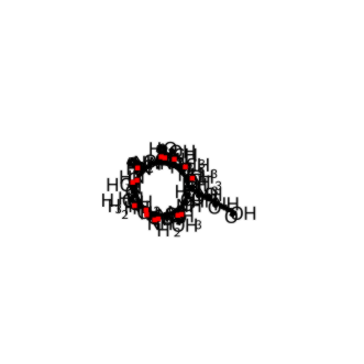 CCCC[C@H]1C(=O)N(C)[C@@H](CCCC)C(=O)N[C@@H](CC(C)C)C(=O)N[C@H](C(=O)NCC(=O)NCC(=O)NCC(=O)NCCCCC(=O)O)CSCC(=O)N[C@@H](Cc2ccc(O)cc2)C(=O)N(C)CC(=O)N[C@H]2CC(N)=C3CC[C@@H](C(=O)N[C@@H](CN)C(=O)N[C@@H](CC(C)C)C(=O)N4C[C@H](O)C[C@@H]4C(=O)N[C@@H](Cc4c[nH]c5ccccc45)C(=O)NCC(=O)N[C@@H](Cc4cn(CC(=O)O)c5ccccc45)C(=O)N1C)N3C2=O